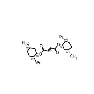 CC(C)[C@H]1CC[C@H](C)C[C@@H]1OC(=O)/C=C/C(=O)O[C@H]1C[C@@H](C)CC[C@@H]1C(C)C